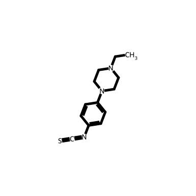 CCN1CCN(c2ccc(N=C=S)cc2)CC1